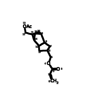 C=CC(=O)OCC1CC2C3CC(COC(C)=O)C(C3)C2C1